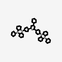 c1ccc(-c2cc(-c3ccc(N4c5ccccc5N(c5ccccc5)c5ccccc54)cc3)nc(-c3ccc(N4c5ccccc5N(c5ccccc5)c5ccccc54)cc3)c2)cc1